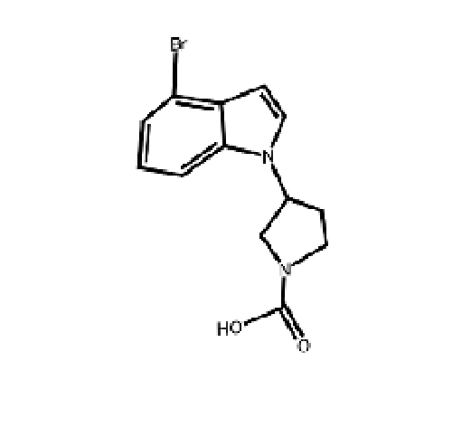 O=C(O)N1CCC(n2ccc3c(Br)cccc32)C1